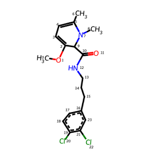 COC1=CC=C(C)N(C)C1C(=O)NCCCc1ccc(Cl)c(Cl)c1